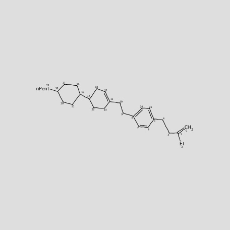 C=C(CC)CCc1ccc(CCC2=CCC(C3CCC(CCCCC)CC3)CC2)cc1